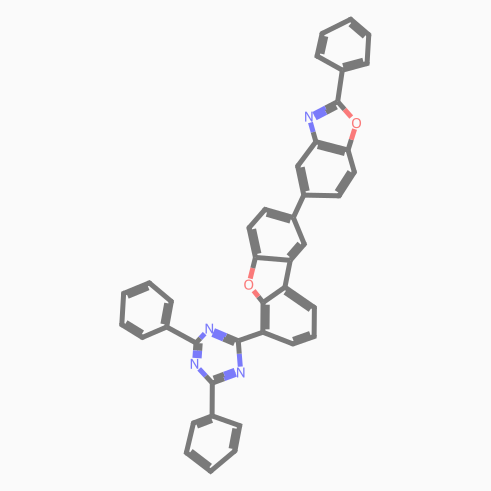 c1ccc(-c2nc(-c3ccccc3)nc(-c3cccc4c3oc3ccc(-c5ccc6oc(-c7ccccc7)nc6c5)cc34)n2)cc1